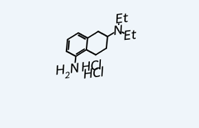 CCN(CC)C1CCc2c(N)cccc2C1.Cl.Cl